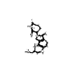 O=C1CCC(N2Cc3c(ccc4c3NC(CO)CO4)C2=O)C(=O)N1